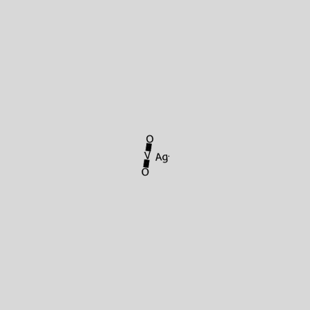 [Ag].[O]=[V]=[O]